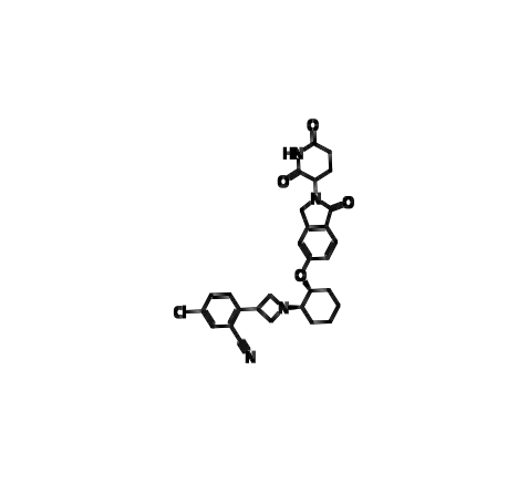 N#Cc1cc(Cl)ccc1C1CN([C@@H]2CCCC[C@@H]2Oc2ccc3c(c2)CN(C2CCC(=O)NC2=O)C3=O)C1